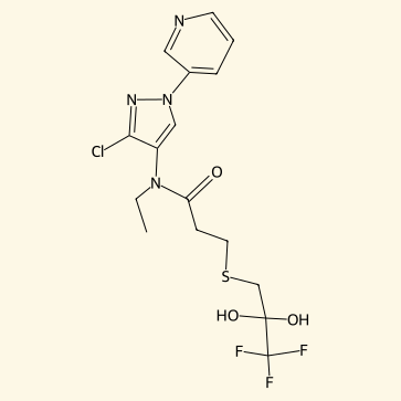 CCN(C(=O)CCSCC(O)(O)C(F)(F)F)c1cn(-c2cccnc2)nc1Cl